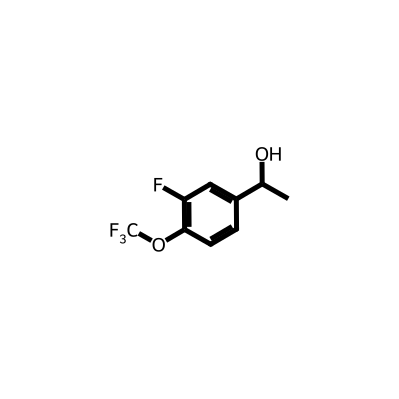 CC(O)c1ccc(OC(F)(F)F)c(F)c1